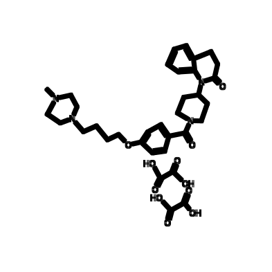 CN1CCN(CCCCOc2ccc(C(=O)N3CCC(N4C(=O)CCc5ccccc54)CC3)cc2)CC1.O=C(O)C(=O)O.O=C(O)C(=O)O